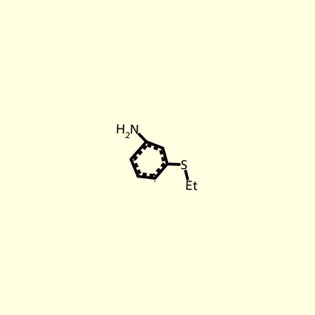 CCSc1[c]ccc(N)c1